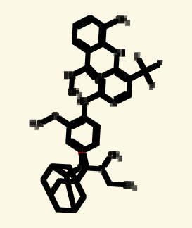 CCN(C)C(=O)C12CC3CC(C1)C(Oc1ccc(Nc4ncc(C(F)(F)F)c(Nc5c(C)cccc5C(=O)NC)n4)c(OC)c1)C(C3)C2